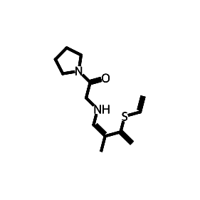 C=CSC(=C)/C(C)=C\NCC(=O)N1CCCC1